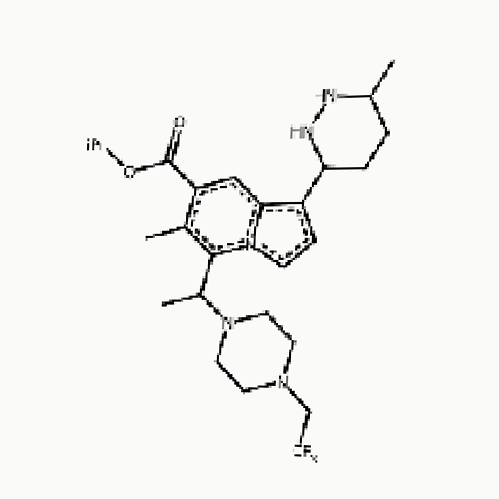 Cc1c(C(=O)OC(C)C)cc2c(C3CCC(C)NN3)ccn2c1C(C)N1CCN(CC(F)(F)F)CC1